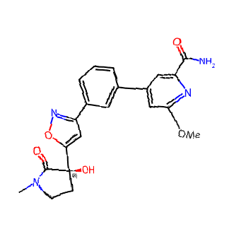 COc1cc(-c2cccc(-c3cc([C@]4(O)CCN(C)C4=O)on3)c2)cc(C(N)=O)n1